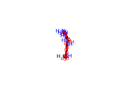 Cc1c(NCCCOCCOCCOCCCNC(=O)CC[C@H](NC(=O)c2ccc(NCc3cnc4nc(N)[nH]c(=O)c4n3)cc2)C(=O)O)c(=O)c1=O